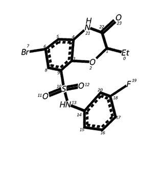 CCC1Oc2c(cc(Br)cc2S(=O)(=O)Nc2cccc(F)c2)NC1=O